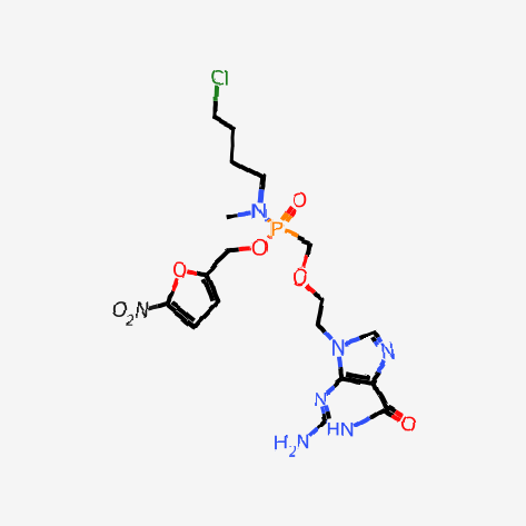 CN(CCCCCl)P(=O)(COCCn1cnc2c(=O)[nH]c(N)nc21)OCc1ccc([N+](=O)[O-])o1